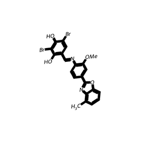 COc1cc(-c2nc3c(C)cccc3o2)ccc1/N=C/c1cc(Br)c(O)c(Br)c1O